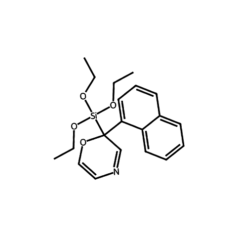 CCO[Si](OCC)(OCC)C1(c2cccc3ccccc23)C=NC=CO1